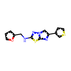 c1coc(CNc2nn3cc(-c4ccsc4)nc3s2)c1